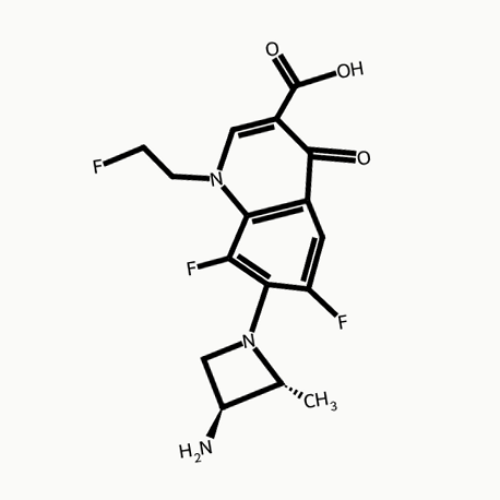 C[C@@H]1[C@@H](N)CN1c1c(F)cc2c(=O)c(C(=O)O)cn(CCF)c2c1F